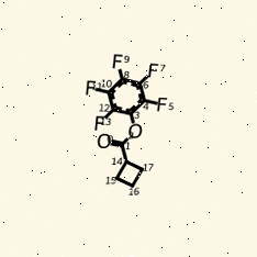 O=C(Oc1c(F)c(F)c(F)c(F)c1F)C1CCC1